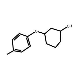 Cc1ccc(OC2CCCC(O)C2)cc1